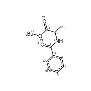 CC(NC(=O)c1cccnc1)C(=O)OC(C)(C)C